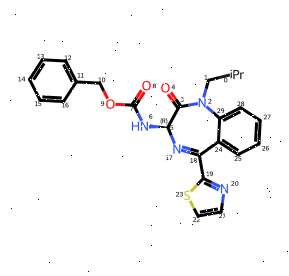 CC(C)CN1C(=O)[C@H](NC(=O)OCc2ccccc2)N=C(c2nccs2)c2ccccc21